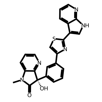 CN1C(=O)[C@](O)(c2cccc(-c3csc(-c4c[nH]c5ncccc45)n3)c2)c2ncccc21